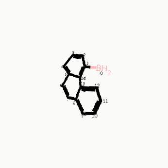 Bc1cccc2ccc3ccccc3c12